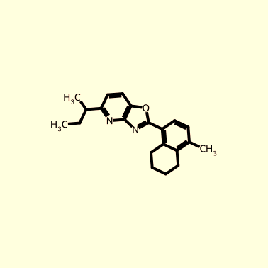 CCC(C)c1ccc2oc(-c3ccc(C)c4c3CCCC4)nc2n1